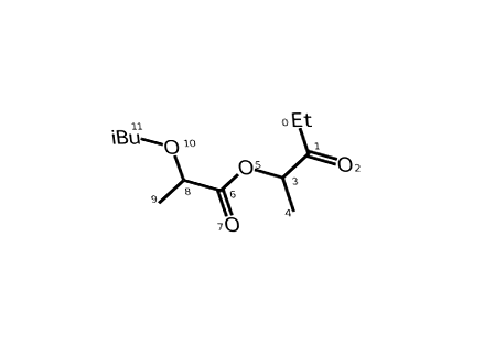 CCC(=O)C(C)OC(=O)C(C)OC(C)CC